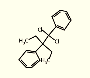 CCC(CC)(c1ccccc1)C(Cl)(Cl)c1ccccc1